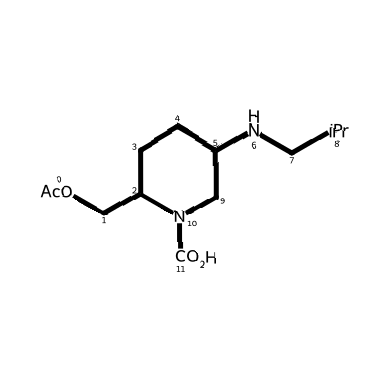 CC(=O)OCC1CCC(NCC(C)C)CN1C(=O)O